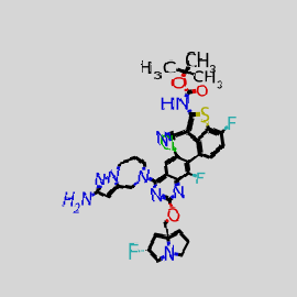 CC(C)(C)OC(=O)Nc1sc2c(F)ccc(-c3c(Cl)cc4c(N5CCCn6nc(N)cc6C5)nc(OC[C@@]56CCCN5C[C@H](F)C6)nc4c3F)c2c1C#N